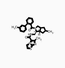 Cc1cccc(-c2ccccc2C(=O)N2CC3CC(C)C[C@@H]3[C@H]2CNC(=O)c2c(C)nc3sccn23)c1